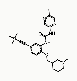 Cc1cnc(NC(=O)Nc2cc(C#C[Si](C)(C)C)ccc2OCC2CCCN(C)C2)cn1